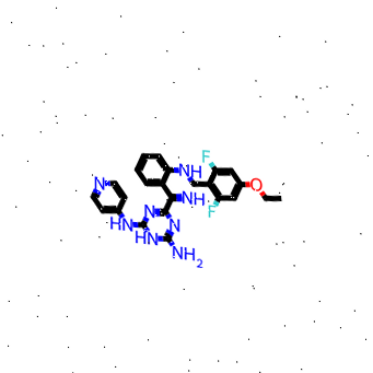 CCOc1cc(F)c(CNc2ccccc2C(=N)C2=NC(Nc3ccncc3)NC(N)=N2)c(F)c1